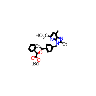 CCc1nc2c(C)cc(C(=O)O)nc2n1Cc1ccc(C(CC)OC(C(=O)OC(C)(C)C)c2ccccc2)cc1